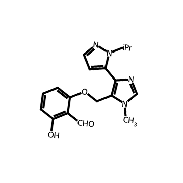 CC(C)n1nccc1-c1ncn(C)c1COc1cccc(O)c1C=O